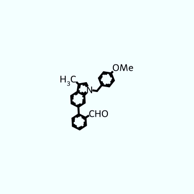 COc1ccc(Cn2cc(C)c3ccc(-c4ccccc4C=O)cc32)cc1